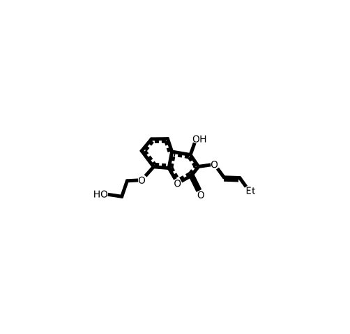 CC/C=C/Oc1c(O)c2cccc(OCCO)c2oc1=O